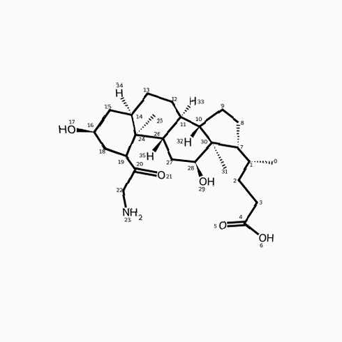 C[C@H](CCC(=O)O)[C@H]1CC[C@H]2[C@@H]3CC[C@@H]4C[C@H](O)CC(C(=O)CN)[C@]4(C)[C@H]3C[C@H](O)[C@]12C